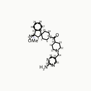 CO/N=C1\CC2(CCN(C(=O)C3CCN(Cc4cnc(N)nc4)CC3)CC2)c2ccccc21